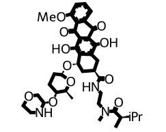 COc1cccc2c1C(=O)c1c(O)c3c(c(O)c1C2=O)C[C@@H](C(=O)NCCN(C)C(=O)[C@H](C)C(C)C)C[C@@H]3O[C@H]1CC[C@H](O[C@@H]2COCCN2)[C@H](C)O1